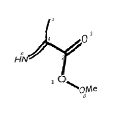 COOC(=O)C(C)=N